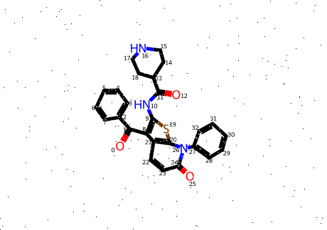 O=C(c1ccccc1)c1c(NC(=O)C2CCNCC2)sc2c1ccc(=O)n2-c1ccccc1